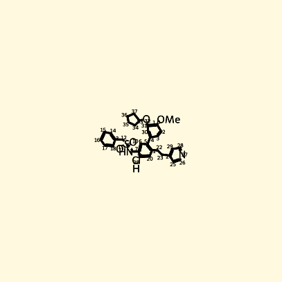 COc1ccc(-c2cc(NS(=O)(=O)Cc3ccccc3)ccc2CCc2ccncc2)cc1OC1CCCC1.Cl